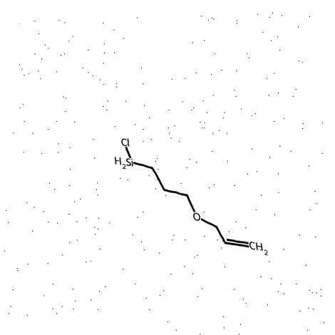 C=CCOCCC[SiH2]Cl